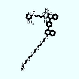 Cc1ccnc(NCCCC(=O)NC(C(N)=O)C(c2ccccc2)c2ccc(-c3ccc(OCCOCCOCCOCCOCCN=[N+]=[N-])c4ccccc34)cc2)c1